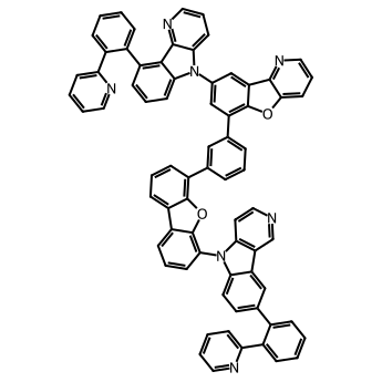 c1ccc(-c2ccccc2-c2ccc3c(c2)c2cnccc2n3-c2cccc3c2oc2c(-c4cccc(-c5cc(-n6c7cccnc7c7c(-c8ccccc8-c8ccccn8)cccc76)cc6c5oc5cccnc56)c4)cccc23)nc1